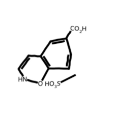 CS(=O)(=O)O.O=C(O)c1ccc2c(c1)C=CNO2